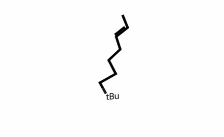 CC=CCCCCC(C)(C)C